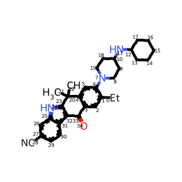 CCc1cc2c(cc1N1CCC(NC3CCCCC3)CC1)C(C)(C)c1[nH]c3cc(C#N)ccc3c1C2=O